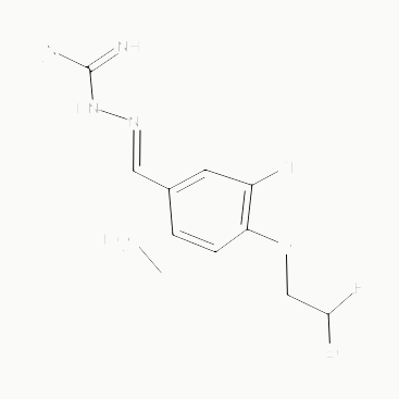 CC(=O)O.CCC(CC)COc1ccc(/C=N/NC(=N)N)cc1Cl